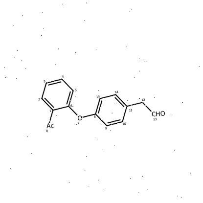 CC(=O)c1ccccc1Oc1ccc(CC=O)cc1